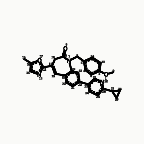 COc1ccc(CN2C(=O)CC(c3ncc(C)o3)=Cc3ccc(-c4ccc(C5CC5)nc4)cc32)cc1